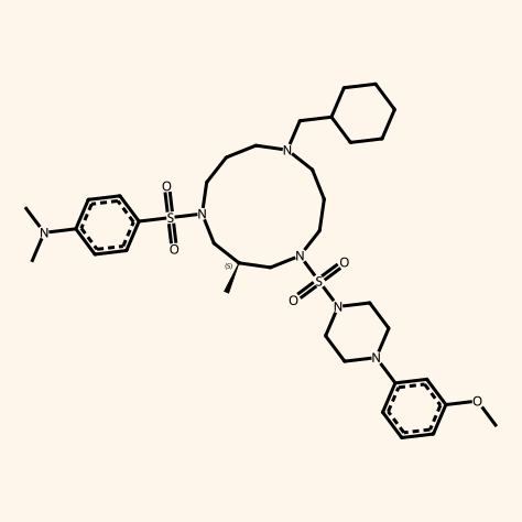 COc1cccc(N2CCN(S(=O)(=O)N3CCCN(CC4CCCCC4)CCCN(S(=O)(=O)c4ccc(N(C)C)cc4)C[C@H](C)C3)CC2)c1